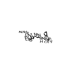 CCOc1cc(-c2cc(NCCn3c(C#N)c(OCF)c4ccccc43)ncn2)sc1C(=O)NC